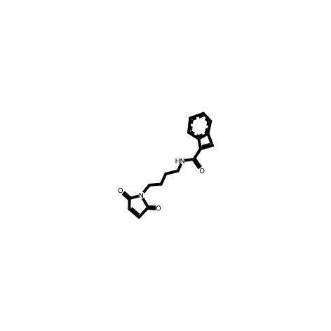 O=C(NCCCCN1C(=O)C=CC1=O)C1=Cc2ccccc21